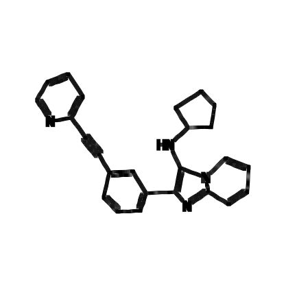 C(#Cc1ccccn1)c1cccc(-c2nc3ccccn3c2NC2CCCC2)c1